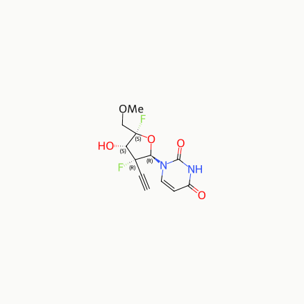 C#C[C@]1(F)[C@H](n2ccc(=O)[nH]c2=O)O[C@](F)(COC)[C@H]1O